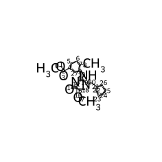 COC(=O)c1ccc(C)c(Nc2nc(=O)c(OC)cn2Cc2ccccc2)c1